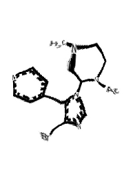 CC(=O)N1CCN(C)CC1n1cnc(Br)c1-c1ccncc1